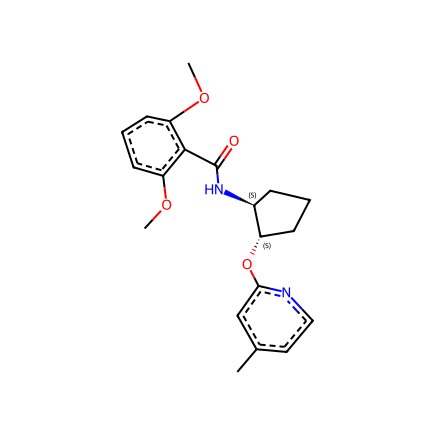 COc1cccc(OC)c1C(=O)N[C@H]1CCC[C@@H]1Oc1cc(C)ccn1